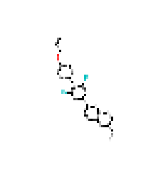 C=CCOc1ccc(-c2c(F)cc(-c3ccc4cc(CC)ccc4c3)cc2F)cc1